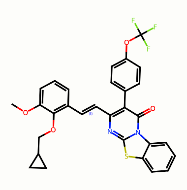 COc1cccc(/C=C/c2nc3sc4ccccc4n3c(=O)c2-c2ccc(OC(F)(F)F)cc2)c1OCC1CC1